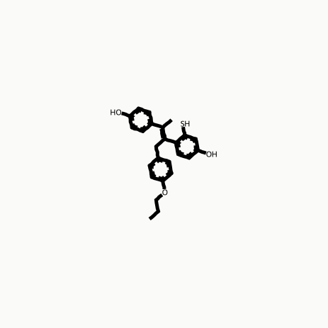 CCCOc1ccc(C/C(=C(/C)c2ccc(O)cc2)c2ccc(O)cc2S)cc1